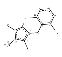 Cc1nn(Cc2c(F)cccc2F)c(C)c1N